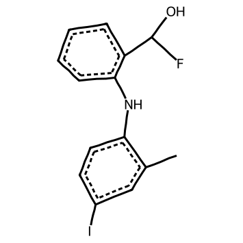 Cc1cc(I)ccc1Nc1ccccc1C(O)F